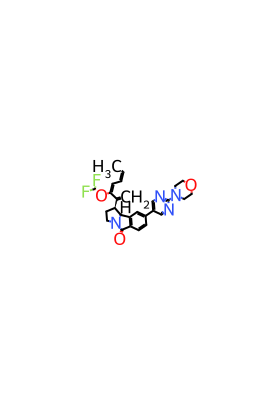 C=C(/C(=C\C=C/C)OC(F)F)[C@@H]1CCN2C(=O)c3ccc(-c4cnc(N5CCOCC5)nc4)cc3[C@@H]12